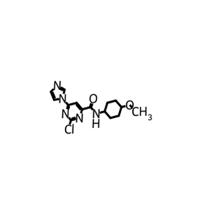 COC1CCC(NC(=O)c2cc(-n3ccnc3)nc(Cl)n2)CC1